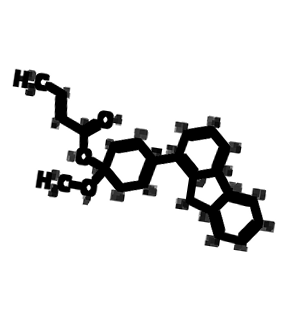 CC=CC(=O)OC1(OC)C=CC(c2cccc3c2Cc2ccccc2-3)=CC1